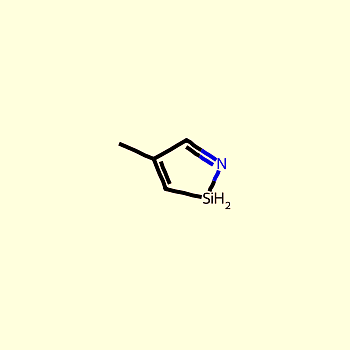 CC1=C[SiH2]N=C1